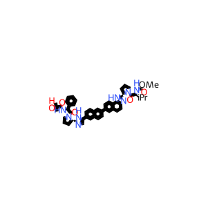 COC(=O)N[C@H](C(=O)N1CCC[C@H]1c1nc2c([nH]1)-c1ccc(-c3ccc4cc(-c5cnc([C@@H]6CCCN6C(=O)[C@H](NC(=O)C(C)(C)O)c6ccccc6)[nH]5)ccc4c3)cc1CC2)C(C)C